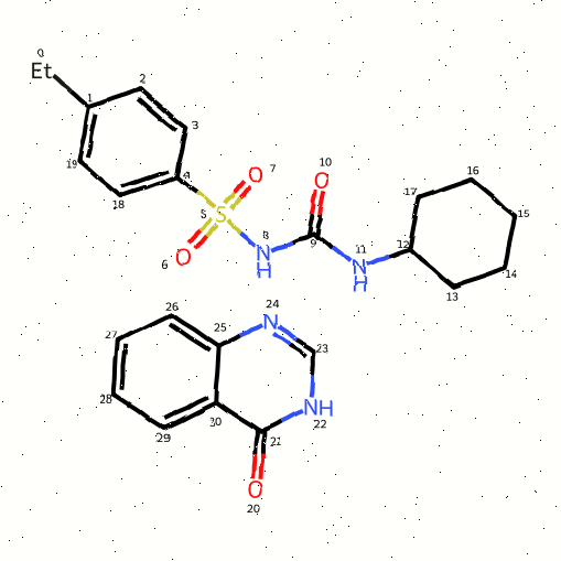 CCc1ccc(S(=O)(=O)NC(=O)NC2CCCCC2)cc1.O=c1[nH]cnc2ccccc12